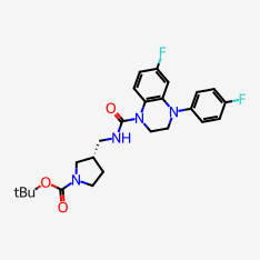 CC(C)(C)OC(=O)N1CC[C@@H](CNC(=O)N2CCN(c3ccc(F)cc3)c3cc(F)ccc32)C1